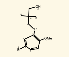 COc1ccc(Br)cc1SCC(C)(C)CO